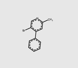 Cc1cc(-c2ccccc2)c(Br)cn1